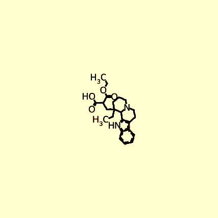 CCOC(=O)C(CC1(CC)CCCN2CCc3c([nH]c4ccccc34)C21)C(=O)O